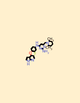 CC1CCCC(C)N1Cc1cc(Nc2ccc(Oc3ccnc4[nH]ccc34)c(F)c2)nc(N)n1